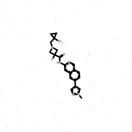 Cn1cc(-c2ccc3cnc(NC(=O)C4(F)CN(CC5(C(F)(F)F)CC5)C4)cc3c2)cn1